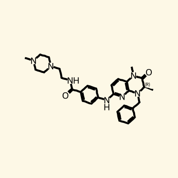 C[C@@H]1C(=O)N(C)c2ccc(Nc3ccc(C(=O)NCCN4CCN(C)CC4)cc3)nc2N1Cc1ccccc1